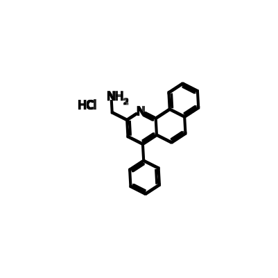 Cl.NCc1cc(-c2ccccc2)c2ccc3ccccc3c2n1